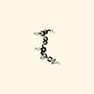 Cc1c(CN2CCC3(CCN(c4nc(N)nc5sc(CC(F)(F)F)cc45)C3)C2)ccc2c1cc(C#N)n2CC(C)N1CCN(S(C)(=O)=O)CC1